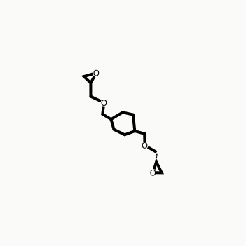 C1CC(COC[C@@H]2CO2)CCC1COCC1CO1